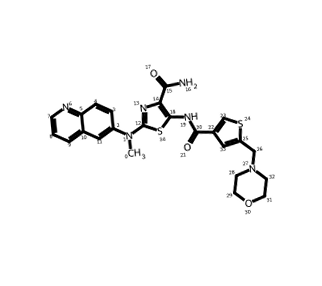 CN(c1ccc2ncccc2c1)c1nc(C(N)=O)c(NC(=O)c2csc(CN3CCOCC3)c2)s1